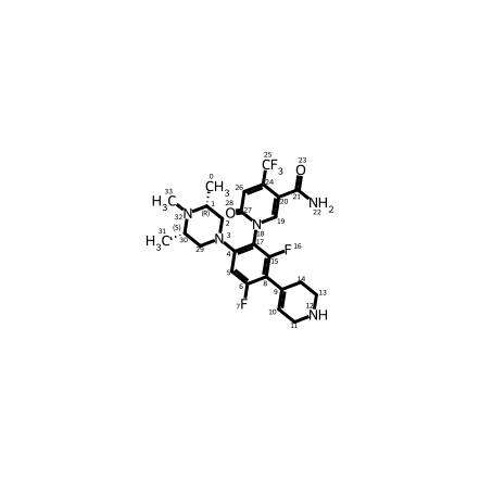 C[C@@H]1CN(c2cc(F)c(C3=CCNCC3)c(F)c2-n2cc(C(N)=O)c(C(F)(F)F)cc2=O)C[C@H](C)N1C